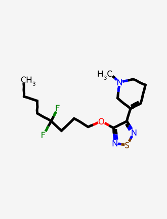 CCCCC(F)(F)CCCOc1nsnc1C1=CCCN(C)C1